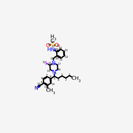 CCCCCC(c1ccc(C#N)c(C)c1)N1CCN(Cc2ccccc2NS(C)(=O)=O)C(I)C1